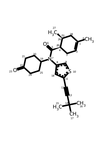 CC1=CC[C@@H](C(=O)N(c2csc(C#CC(C)(C)C)c2)C2CCC(=O)CC2)[C@@H](C)C1